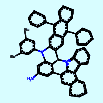 CC(C)(C)c1cc(N2c3cc4c(-c5ccccc5)c5ccccc5c(-c5ccccc5)c4cc3B3c4c(cc(N)cc42)-c2cc4ccccc4c4c5ccccc5n3c24)cc(C(C)(C)C)c1